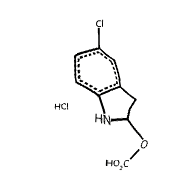 Cl.O=C(O)OC1Cc2cc(Cl)ccc2N1